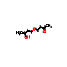 CC(=O)CCOCCC(C)O